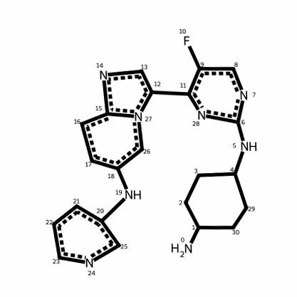 NC1CCC(Nc2ncc(F)c(-c3cnc4ccc(Nc5cccnc5)cn34)n2)CC1